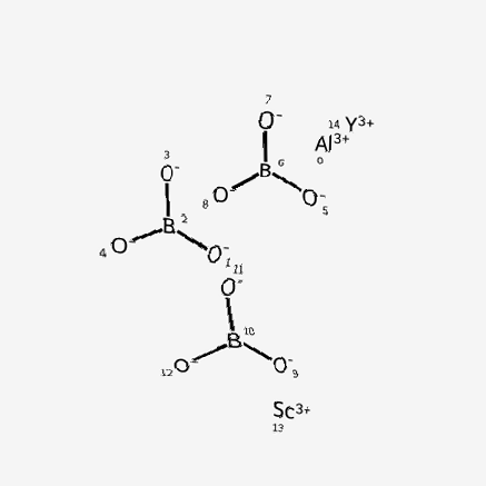 [Al+3].[O-]B([O-])[O-].[O-]B([O-])[O-].[O-]B([O-])[O-].[Sc+3].[Y+3]